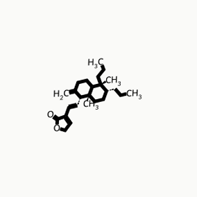 C=C1CCC2[C@](C)(CCC)[C@H](CCC)CC[C@@]2(C)[C@@H]1/C=C/C1=CCOC1=O